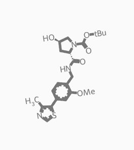 COc1cc(-c2scnc2C)ccc1CNC(=O)[C@@H]1C[C@@H](O)CN1C(=O)OC(C)(C)C